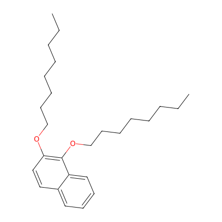 CCCCCCCCOc1ccc2ccccc2c1OCCCCCCCC